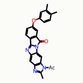 CC(=O)n1c(C)nc2cc3nc4n(c3cc21)C(=O)c1cc(Oc2ccc(C)c(C)c2)ccc1-4